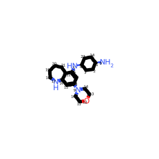 N[C@H]1CC[C@@H](NC2=CC(N3CCOCC3)=CC3NCCCCC23)CC1